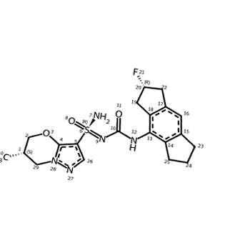 C[C@@H]1COc2c([S@](N)(=O)=NC(=O)Nc3c4c(cc5c3C[C@H](F)C5)CCC4)cnn2C1